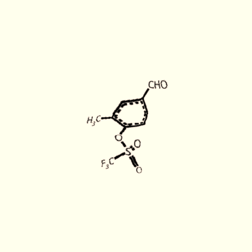 Cc1cc(C=O)ccc1OS(=O)(=O)C(F)(F)F